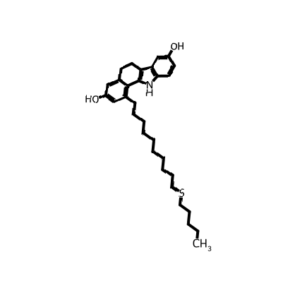 CCCCCSCCCCCCCCCCc1cc(O)cc2c1-c1[nH]c3ccc(O)cc3c1CC2